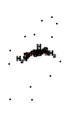 CC(C)(N)C(=O)N1CCN(C(=O)Nc2ccn(-c3ccc4c(c3)CCC(N(CC3CC3)C3CCC(N)C3)C4)c(=O)n2)CC1